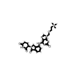 C[Si](C)(C)CCOCn1cnc2c(Nc3cccc4c3CN(C3CCC(=O)NC3=O)C4=O)nc(Cl)nc21